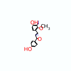 COc1c(/C=C/C(=O)c2ccc(O)cc2)ccc(O)c1I